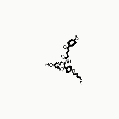 COc1ccc(C(=O)CCCC(=O)N[C@H](CN2CC[C@@H](O)C2)[C@@H](O)c2ccc(OCCCCF)cc2)cc1